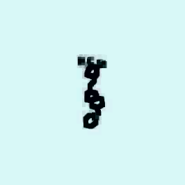 CCc1cc(CCc2ccc3c(c2)CCC(CN2CCCCC2)=C3)ccc1C